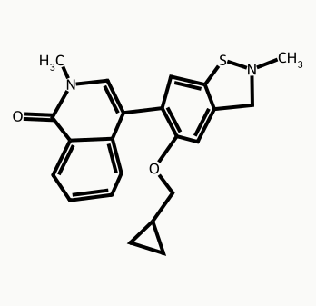 CN1Cc2cc(OCC3CC3)c(-c3cn(C)c(=O)c4ccccc34)cc2S1